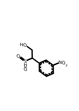 O=[N+]([O-])c1cccc(C(CO)[SH](=O)=O)c1